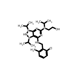 CC(C)N(CCO)c1nc(NCc2c(N)cccc2Cl)c2c(n1)N(C(C)C)NN2C(C)C